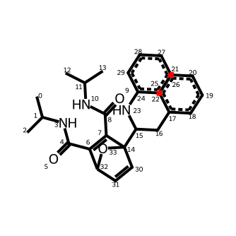 CC(C)NC(=O)C1=C(C(=O)NC(C)C)C2(C(Cc3ccccc3)Nc3ccccc3)C=CC1O2